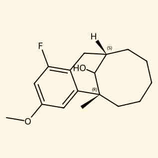 COc1cc(F)c2c(c1)[C@@]1(C)CCCCC[C@@H](C2)C1O